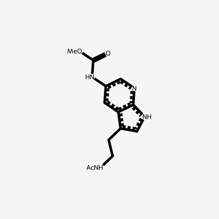 COC(=O)Nc1cnc2[nH]cc(CCNC(C)=O)c2c1